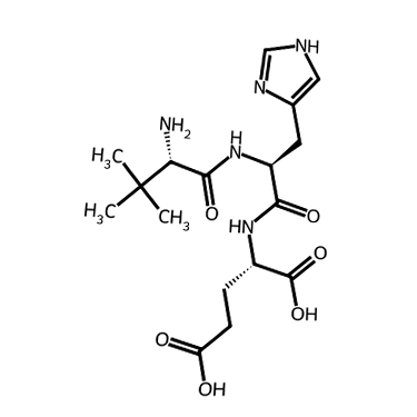 CC(C)(C)[C@H](N)C(=O)N[C@@H](Cc1c[nH]cn1)C(=O)N[C@@H](CCC(=O)O)C(=O)O